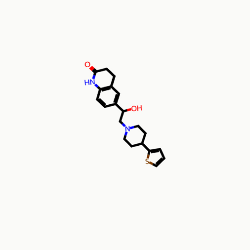 O=C1CCc2cc(C(O)CN3CCC(c4cccs4)CC3)ccc2N1